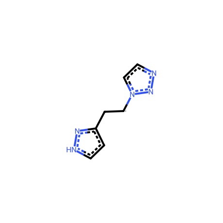 [CH](Cc1cc[nH]n1)n1ccnn1